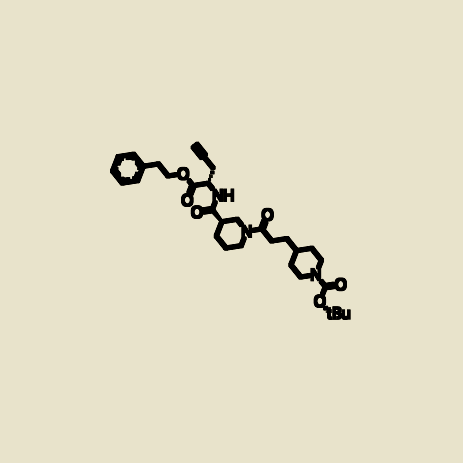 C#CC[C@H](NC(=O)[C@@H]1CCCN(C(=O)CCC2CCN(C(=O)OC(C)(C)C)CC2)C1)C(=O)OCCc1ccccc1